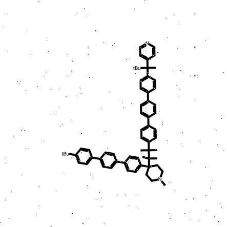 CN1CCC(c2ccc(-c3ccc(-c4ccc(C(C)(C)C)cc4)cc3)cc2)(C(C)(C)C(C)(C)c2ccc(-c3ccc(-c4ccc(C(C)(c5ccncc5)C(C)(C)C)cc4)cc3)cc2)CC1